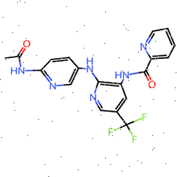 CC(=O)Nc1ccc(Nc2ncc(C(F)(F)F)cc2NC(=O)c2ccccn2)cn1